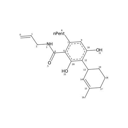 C=CCNC(=O)c1c(CCCCC)cc(O)c(C2C=C(C)CCC2)c1O